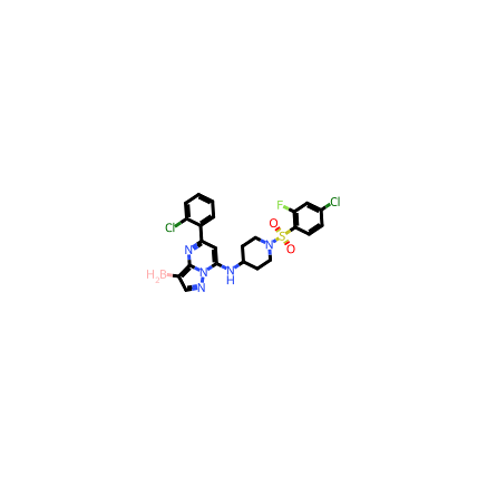 Bc1cnn2c(NC3CCN(S(=O)(=O)c4ccc(Cl)cc4F)CC3)cc(-c3ccccc3Cl)nc12